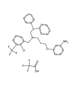 Nc1cccc(OCCCN(Cc2cccc(C(F)(F)F)c2Cl)CC(c2ccccc2)c2ccccc2)c1.O=C(O)C(F)(F)F